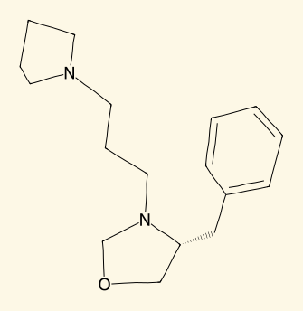 c1ccc(C[C@@H]2COCN2CCCN2CCCC2)cc1